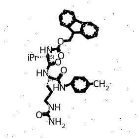 [CH2]c1ccc(NC(=O)[C@H](CCCNC(N)=O)NC(=O)[C@@H](NC(=O)OCC2c3ccccc3-c3ccccc32)C(C)C)cc1